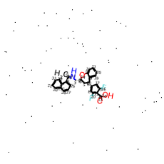 C[C@@H](NC[C@H]1C[C@@H](c2cc(F)c(C(=O)O)c(F)c2)c2ccccc2O1)c1cccc2ccccc12